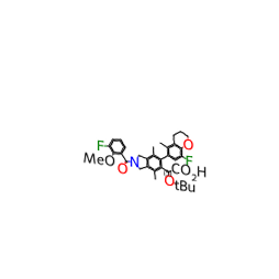 COc1c(F)cccc1C(=O)N1Cc2c(C)c(-c3cc(F)c4c(c3C)CCCO4)c([C@H](OC(C)(C)C)C(=O)O)c(C)c2C1